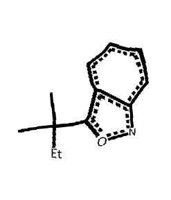 CCC(C)(C)c1onc2ccccc12